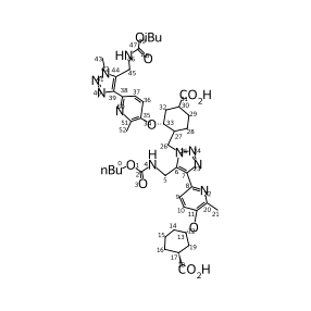 CCCCOC(=O)NCc1c(-c2ccc(O[C@H]3CCC[C@H](C(=O)O)C3)c(C)n2)nnn1CC1CCC(C(=O)O)C[C@H]1Oc1ccc(-c2nnn(C)c2CNC(=O)OCC(C)C)nc1C